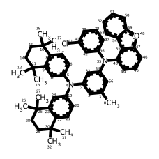 Cc1cc(N(c2ccc3c(c2)C(C)(C)CCC3(C)C)c2ccc3c(c2)C(C)(C)CCC3(C)C)cc(N(c2cccc(Cl)c2)c2cccc3oc4ccccc4c23)c1